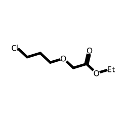 CCOC(=O)COCCCCl